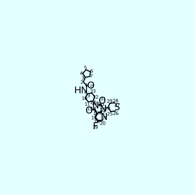 O=C(CC1CCCC1)NC1CCC(n2c(=O)c3cc(F)cnc3n(C3CCSCC3)c2=O)CC1